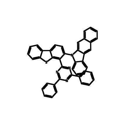 c1ccc(-c2nc(-c3ccccc3)nc(-c3c(-n4c5ccccc5c5cc6ccccc6cc54)ccc4c3sc3ccccc34)n2)cc1